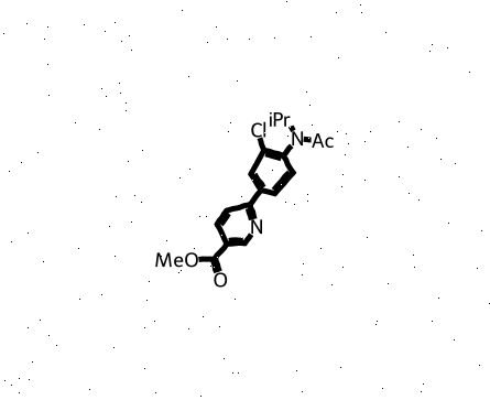 COC(=O)c1ccc(-c2ccc(N(C(C)=O)C(C)C)c(Cl)c2)nc1